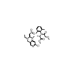 CCN(Cc1ccc(Cl)nc1)/C(=C/[N+](=O)[O-])NC.COCC(=O)N(c1c(C)cccc1C)[C@H](C)C(=O)OC